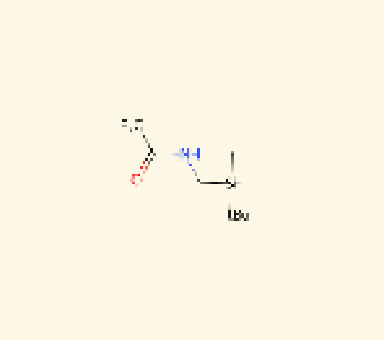 CC(C)(C)[Si](C)(C)CNC(=O)C(F)(F)F